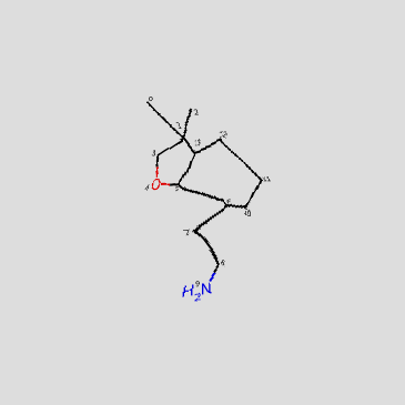 CC1(C)COC2C(CCN)CCCC21